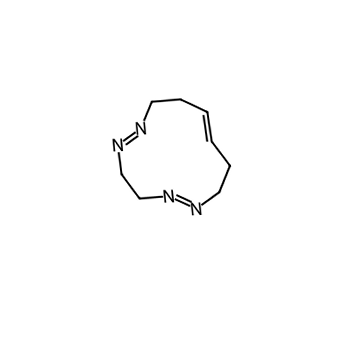 C1=C/CC/N=N/CC/N=N/CC/1